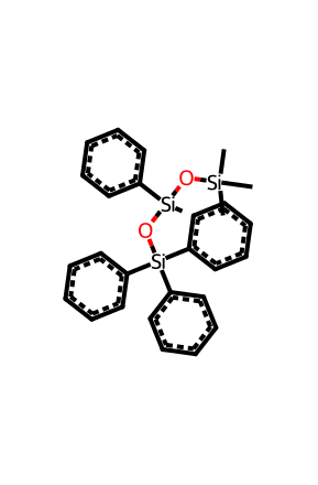 C[Si](C)(C)O[Si](C)(O[Si](c1ccccc1)(c1ccccc1)c1ccccc1)c1ccccc1